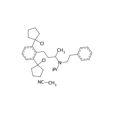 CC#N.CC(C)N(CCc1ccccc1)C(C)CCc1c(C2(Cl)CCCC2)cccc1C1(Cl)CCCC1